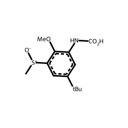 COc1c(NC(=O)O)cc(C(C)(C)C)cc1[S+](C)[O-]